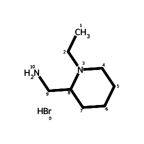 Br.CCN1CCCCC1CN